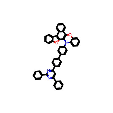 c1ccc(-c2cc(-c3ccc(-c4ccc(N5c6ccccc6Oc6c5c5oc7ccccc7c5c5ccccc65)cc4)cc3)nc(-c3ccccc3)n2)cc1